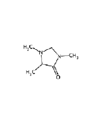 CC1C(=O)N(C)CN1C